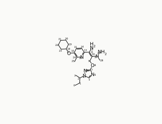 CCC(C)n1cnc(OC/C(=C(/N)c2ccc(OC3CCCCC3)c(C)n2)N(C)N)n1